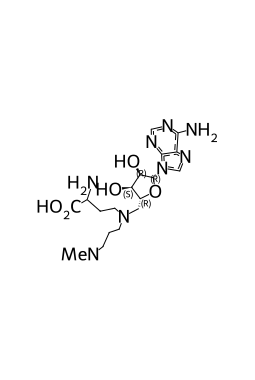 CNCCCN(CCC(N)C(=O)O)C[C@H]1O[C@@H](n2cnc3c(N)ncnc32)[C@H](O)[C@@H]1O